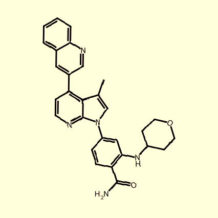 Cc1cn(-c2ccc(C(N)=O)c(NC3CCOCC3)c2)c2nccc(-c3cnc4ccccc4c3)c12